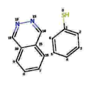 Sc1ccccc1.c1ccc2cnncc2c1